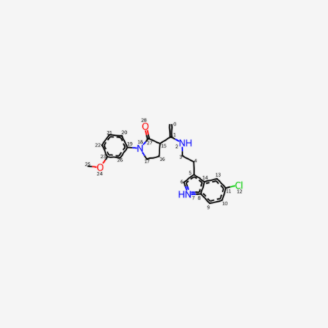 C=C(NCCc1c[nH]c2ccc(Cl)cc12)C1CCN(c2cccc(OC)c2)C1=O